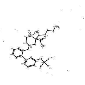 NCCCCC1(C(=O)O)CN(Cc2ccccc2-c2cccc(OC(F)(F)F)c2)CCP1(=O)O